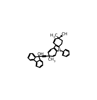 C#CC1(C)C=Cc2c3c(n(-c4ccccc4)c2CC1)C=CC(C)(C#CC1(O)c2ccccc2-c2ccccc21)C=C3